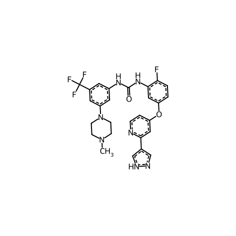 CN1CCN(c2cc(NC(=O)Nc3cc(Oc4ccnc(-c5cn[nH]c5)c4)ccc3F)cc(C(F)(F)F)c2)CC1